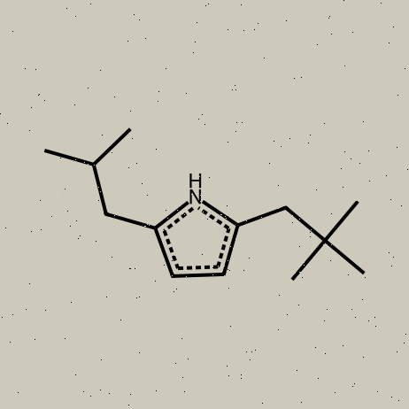 CC(C)Cc1ccc(CC(C)(C)C)[nH]1